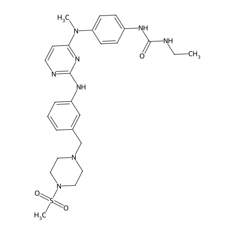 CCNC(=O)Nc1ccc(N(C)c2ccnc(Nc3cccc(CN4CCN(S(C)(=O)=O)CC4)c3)n2)cc1